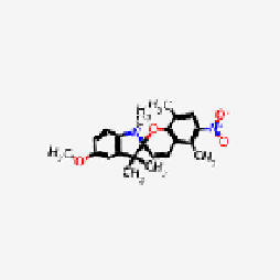 COc1ccc2c(c1)C(C)(C)C1(C=Cc3c(C)c([N+](=O)[O-])cc(C)c3O1)N2C